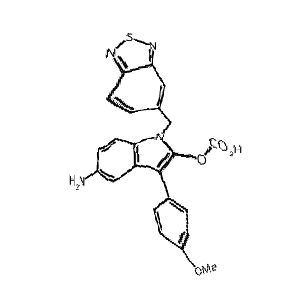 COc1ccc(-c2c(OC(=O)O)n(Cc3ccc4nsnc4c3)c3ccc(N)cc23)cc1